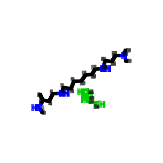 CNC(C)CCNCCCCCCCNCCCN(C)C.Cl.Cl.Cl.Cl